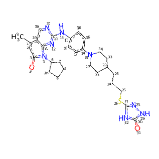 Cc1cc(=O)n(C2CCCC2)c2nc(Nc3ccc(N4CCC(CCCSc5n[nH]c(=O)[nH]5)CC4)cc3)ncc12